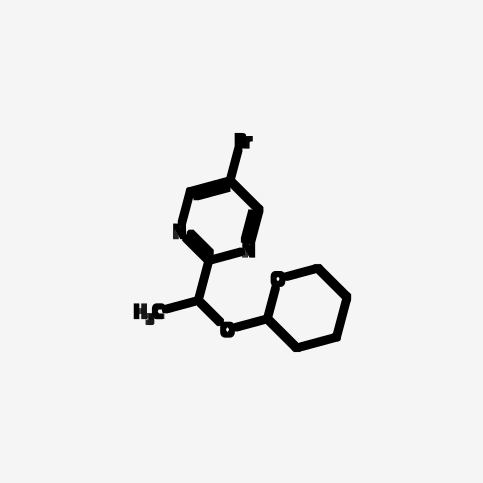 CC(OC1CCCCO1)c1ncc(Br)cn1